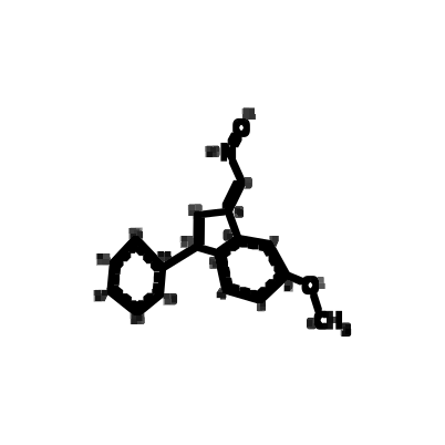 COc1ccc2c(c1)C(=CN=O)C=C2c1ccccc1